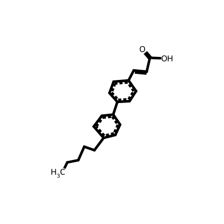 CCCCCc1ccc(-c2ccc(C=CC(=O)O)cc2)cc1